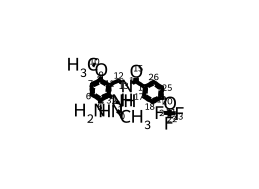 CNNc1c(N)ccc(OC)c1CNC(=O)c1ccc(OC(F)(F)F)cc1